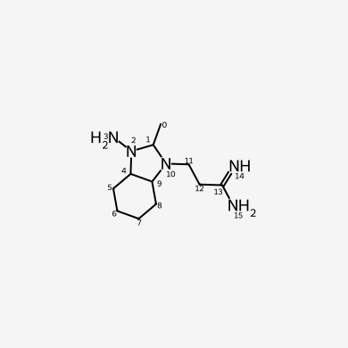 CC1N(N)C2CCCCC2N1CCC(=N)N